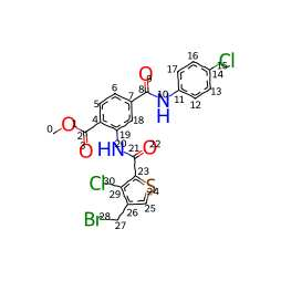 COC(=O)c1ccc(C(=O)Nc2ccc(Cl)cc2)cc1NC(=O)c1scc(CBr)c1Cl